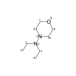 CCN(CC)N1CCOCC1